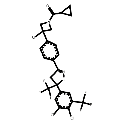 O=C(C1CC1)N1CC(Cl)(c2ccc(C3=NOC(c4cc(Cl)c(Cl)c(C(F)(F)F)c4)(C(F)(F)F)C3)cc2)C1